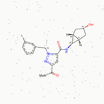 CNC(=O)c1cc(C(=O)N[C@H]2[C@@H]3C[C@@H](O)C[C@@H]32)n([C@@H](C)c2cccc(C)c2)n1